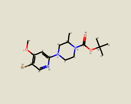 COc1cc(N2CCN(C(=O)OC(C)(C)C)C(C)C2)ncc1Br